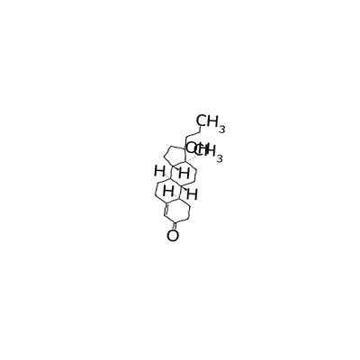 CCC[C@]1(O)CC[C@H]2[C@@H]3CCC4=CC(=O)CC[C@@H]4[C@H]3CC[C@@]21CC